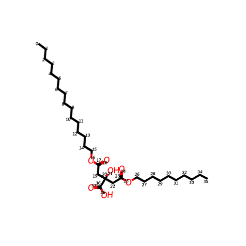 CCCCCCCCCCCCCCCCOC(=O)CC(O)(CC(=O)OCCCCCCCCCC)C(=O)O